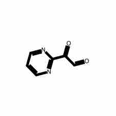 O=CC(=O)c1ncccn1